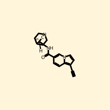 C#Cc1ccn2cc(C(=O)N[C@H]3CN4CCC3CC4)ccc12